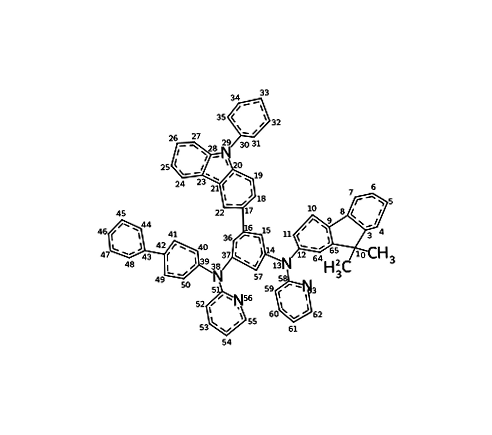 CC1(C)c2ccccc2-c2ccc(N(c3cc(-c4ccc5c(c4)c4ccccc4n5-c4ccccc4)cc(N(c4ccc(-c5ccccc5)cc4)c4ccccn4)c3)c3ccccn3)cc21